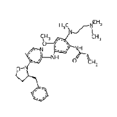 C=CC(=O)Nc1cc(Nc2cc(N3OCC[C@@H]3Cc3ccccc3)ncn2)c(OC)cc1N(C)CCN(C)C